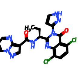 CC[C@H](NC(=O)c1cnn2cccnc12)c1nc2c(Cl)ccc(Cl)c2c(=O)n1-c1cc[nH]n1